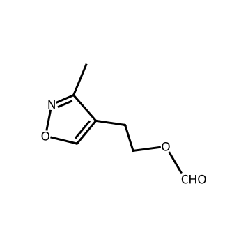 Cc1nocc1CCOC=O